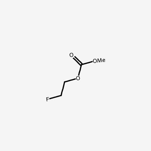 COC(=O)OCCF